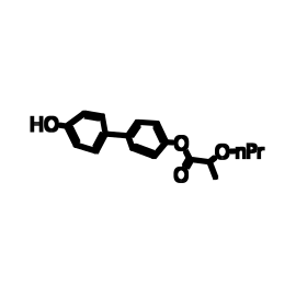 CCCOC(C)C(=O)Oc1ccc(-c2ccc(O)cc2)cc1